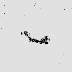 CNCOCCOCCC(=O)N1CCN(c2ccc(-c3ccc4c(c3)C(=O)N(C(C(=O)Nc3nccs3)c3ccccc3)C4)cc2)CC1